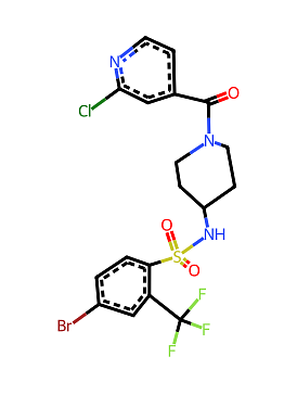 O=C(c1ccnc(Cl)c1)N1CCC(NS(=O)(=O)c2ccc(Br)cc2C(F)(F)F)CC1